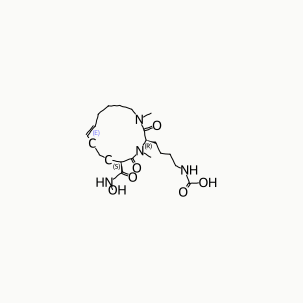 CN1CCCC/C=C/CCC[C@H](C(=O)NO)C(=O)N(C)[C@H](CCCCNC(=O)O)C1=O